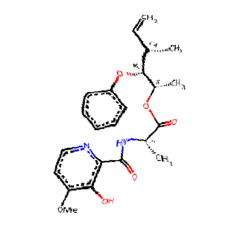 C=C[C@H](C)[C@@H](Oc1ccccc1)[C@H](C)OC(=O)[C@H](C)NC(=O)c1nccc(OC)c1O